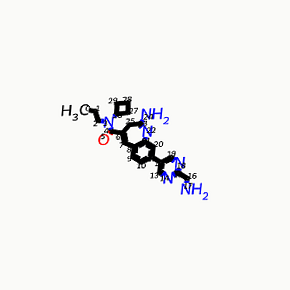 CCCN(C(=O)C1=Cc2ccc(-c3cnc(CN)nc3)cc2N=C(N)C1)C1CCC1